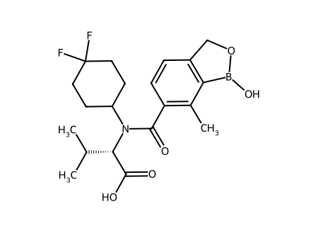 Cc1c(C(=O)N(C2CCC(F)(F)CC2)[C@H](C(=O)O)C(C)C)ccc2c1B(O)OC2